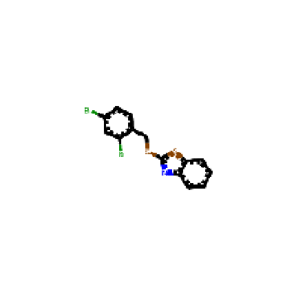 Brc1ccc(CSc2nc3ccccc3s2)c(Br)c1